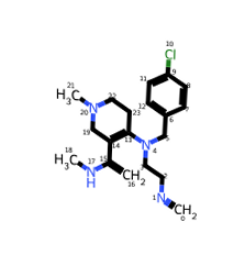 C=NCCN(Cc1ccc(Cl)cc1)C1=C(C(=C)NC)CN(C)CC1